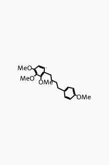 COc1ccc(CCCCc2[c]cc(OC)c(OC)c2OC)cc1